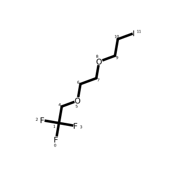 FC(F)(F)COCCOCCI